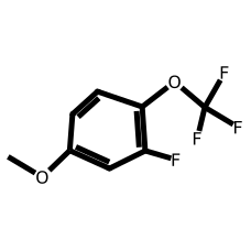 COc1ccc(OC(F)(F)F)c(F)c1